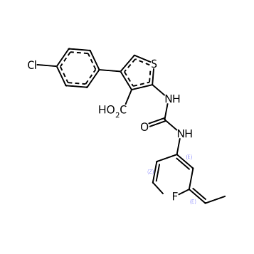 C\C=C/C(=C\C(F)=C/C)NC(=O)Nc1scc(-c2ccc(Cl)cc2)c1C(=O)O